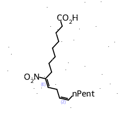 CCCCC/C=C\C/C=C(\CCCCCCCC(=O)O)[N+](=O)[O-]